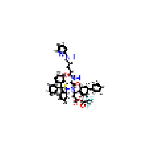 O=C(CCCCNc1ccccn1)N[C@H](CSC(c1ccccc1)(c1ccccc1)c1ccccc1)C(=O)NC(CC(=O)OC(=O)C(F)(F)F)c1ccc(-c2ccccc2)cc1